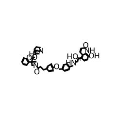 O=C(CCc1ccc(OCc2ccc(CNC[C@H](O)c3ccc(O)c4[nH]c(=O)ccc34)cc2)cc1)N1CC(C(=O)O[C@H]2CN3CCC2CC3)(c2ccccc2)C1